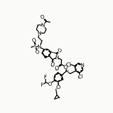 CC(=O)N1CCN(CCN(c2ccc3c(c2)C(=O)N(CC(=O)O[C@@H](Cc2c(Cl)cncc2Cl)c2ccc(OC(F)F)c(OCC4CC4)c2)C3=O)S(C)(=O)=O)CC1